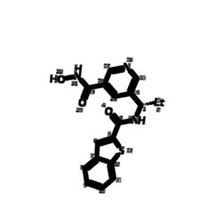 CC[C@H](NC(=O)c1cc2ccccc2s1)c1cncc(C(=O)NO)c1